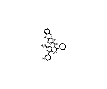 COC(=O)[C@H](Cc1ccccc1)NC(=O)NC(C(=O)N1CCCCCC1)[C@@H](C=NN)C(=O)N(C)[C@H]1CCCNC1